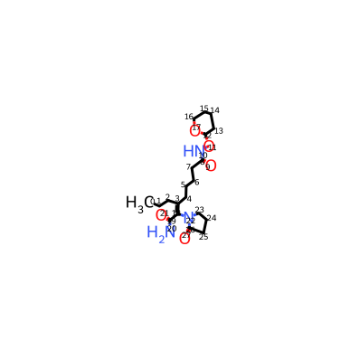 CCC/C(CCCCC(=O)NOC1CCCCO1)=C(\C(N)=O)N1CCCC1=O